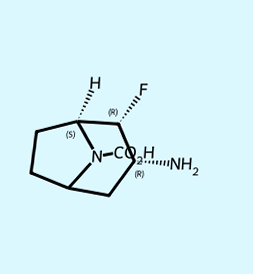 N[C@@H]1CC2CC[C@@H]([C@@H]1F)N2C(=O)O